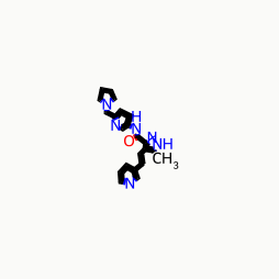 Cc1[nH]nc(C(=O)Nc2ccc(CN3CCCC3)nc2)c1C=Cc1cccnc1